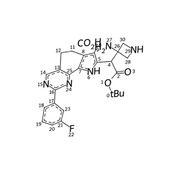 CC(C)(C)OC(=O)C(c1[nH]c2c(c1C(=O)O)CCc1cnc(-c3cccc(F)c3)nc1-2)C1(N)CNC1